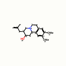 C=C(C)CC1CN2CCc3cc(OC)c(OC)cc3C2CC1O